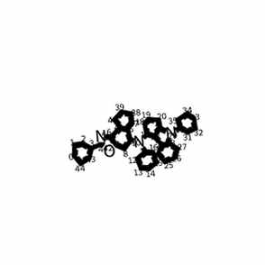 c1ccc(-c2nc3c(cc(N(c4ccccc4)c4cccc5c4c4ccccc4n5-c4ccccc4)c4ccccc43)o2)cc1